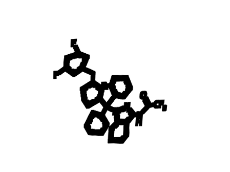 O=C(Nc1nn(C(c2ccccc2)(c2ccccc2)c2cccc(Cc3cc(F)cc(F)c3)c2Br)c2ccccc12)C(F)(F)F